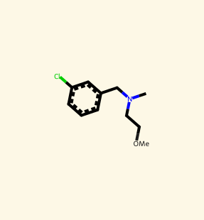 COCCN(C)Cc1cccc(Cl)c1